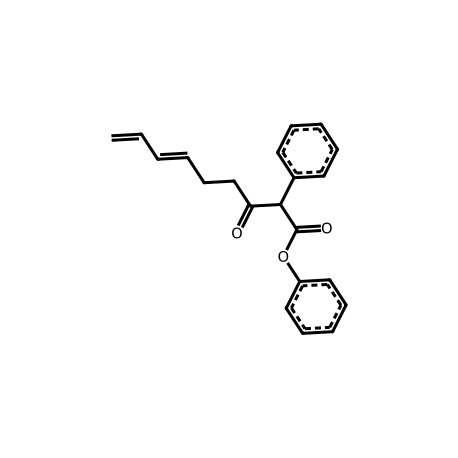 C=CC=CCCC(=O)C(C(=O)Oc1ccccc1)c1ccccc1